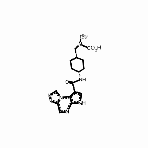 CC(C)(C)N(C[C@H]1CC[C@H](NC(=O)c2c[nH]c3ncc4nncn4c23)CC1)C(=O)O